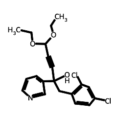 CCOC(C#CC(O)(Cc1ccc(Cl)cc1Cl)c1cccnc1)OCC